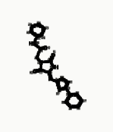 O=C(CN1C(=O)N/C(=C\c2ccc(-c3ccccc3)s2)C1=O)Nc1ccccc1